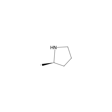 [CH2][C@@H]1CCCN1